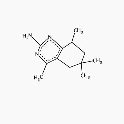 Cc1nc(N)nc2c1CC(C)(C)CC2C